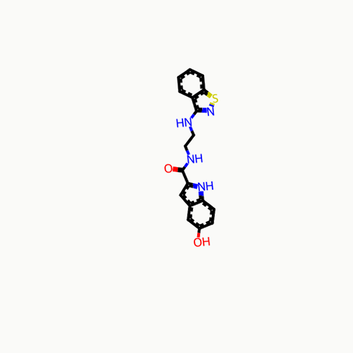 O=C(NCCNc1nsc2ccccc12)c1cc2cc(O)ccc2[nH]1